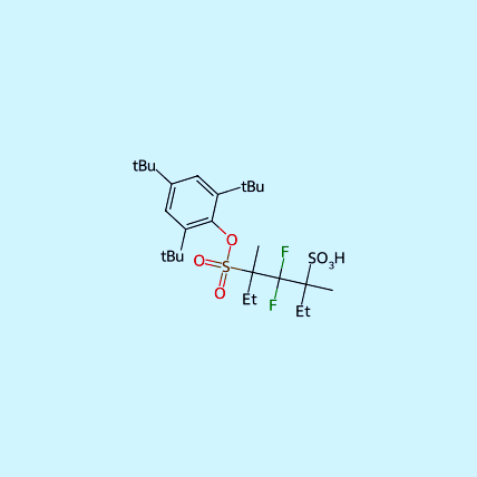 CCC(C)(C(F)(F)C(C)(CC)S(=O)(=O)Oc1c(C(C)(C)C)cc(C(C)(C)C)cc1C(C)(C)C)S(=O)(=O)O